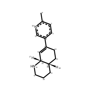 Cc1ccc(C2=C[C@H]3NCCC[C@H]3CC2)cn1